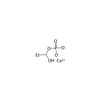 CCC(O)OP(=O)([O-])[O-].[Ca+2]